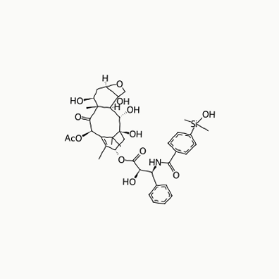 CC(=O)O[C@H]1C(=O)[C@@]2(C)[C@H]([C@H](O)[C@]3(O)C[C@H](OC(=O)[C@H](O)[C@@H](NC(=O)c4ccc([Si](C)(C)O)cc4)c4ccccc4)C(C)=C1C3(C)C)[C@]1(O)CO[C@@H]1C[C@@H]2O